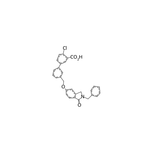 O=C(O)c1cc(-c2cccc(COc3ccc4c(c3)CN(Cc3ccccc3)C4=O)c2)ccc1Cl